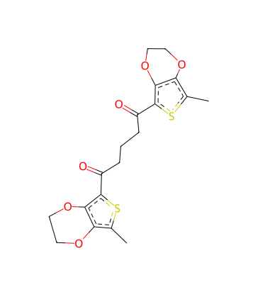 Cc1sc(C(=O)CCCC(=O)c2sc(C)c3c2OCCO3)c2c1OCCO2